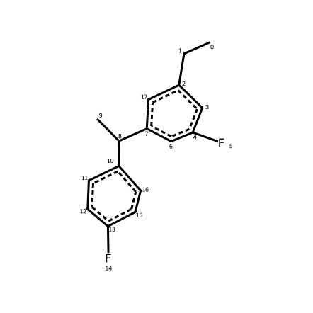 CCc1cc(F)cc(C(C)c2ccc(F)cc2)c1